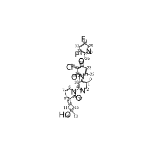 Cc1cnc(-n2cccc(C3CC(C)(O)C3)c2=O)cc1-n1c(C)cc(OCc2ncc(F)cc2F)c(Cl)c1=O